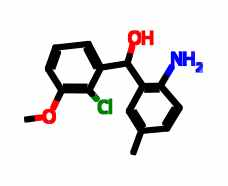 COc1cccc(C(O)c2cc(C)ccc2N)c1Cl